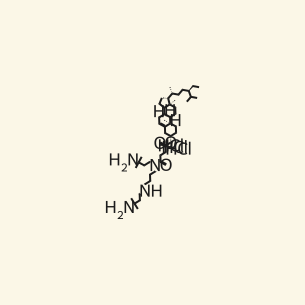 CC[C@H](CC[C@@H](C)[C@H]1CC[C@H]2[C@@H]3CC=C4C[C@@H](OC(=O)CCC(=O)N(CCCCNCCC(C)(C)N)CCC(C)(C)N)CC[C@]4(C)[C@H]3CC[C@]12C)C(C)C.Cl.Cl.Cl